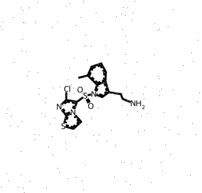 Cc1cccc2c(CCN)cn(S(=O)(=O)c3c(Cl)nc4sccn34)c12